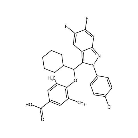 Cc1cc(C(=O)O)cc(C)c1OC(c1c2cc(F)c(F)cc2nn1-c1ccc(Cl)cc1)C1CCCCC1